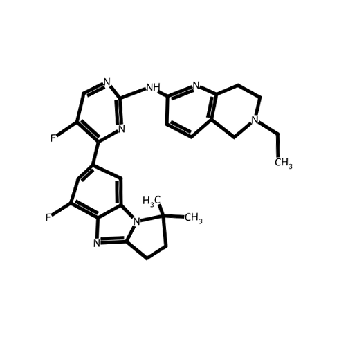 CCN1CCc2nc(Nc3ncc(F)c(-c4cc(F)c5nc6n(c5c4)C(C)(C)CC6)n3)ccc2C1